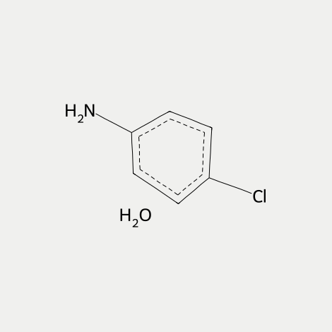 Nc1ccc(Cl)cc1.O